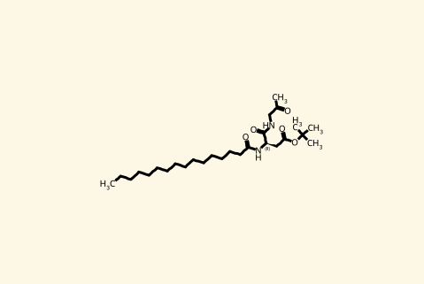 CCCCCCCCCCCCCCCC(=O)N[C@H](CC(=O)OC(C)(C)C)C(=O)NCC(C)=O